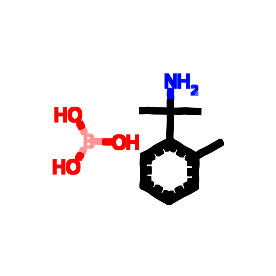 Cc1ccccc1C(C)(C)N.OB(O)O